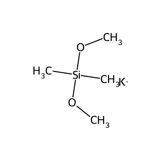 CO[Si](C)(C)OC.[K]